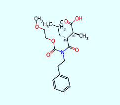 COCCOC(=O)N(CCc1ccccc1)C(=O)[C@H](CC(C)C)[C@H](C)C(=O)O